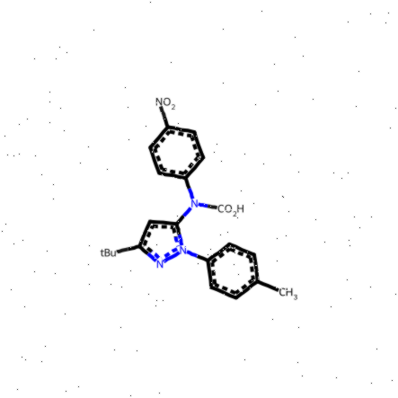 Cc1ccc(-n2nc(C(C)(C)C)cc2N(C(=O)O)c2ccc([N+](=O)[O-])cc2)cc1